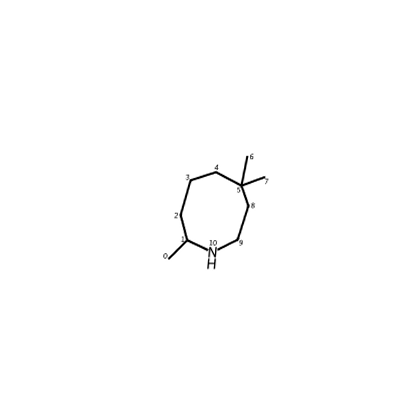 CC1CCCC(C)(C)CCN1